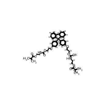 C=C(C)C(=O)OCCNC(=O)OCCOc1ccc(C2(c3ccc(OCCOC(O)NCCOC(=O)C(=C)C)cc3)c3ccccc3-c3ccccc32)cc1